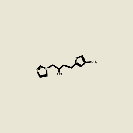 Cc1csc(CCC(O)Cn2ccnc2)c1